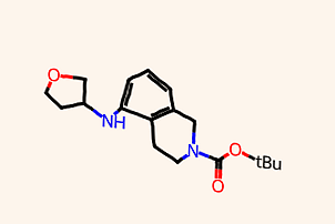 CC(C)(C)OC(=O)N1CCc2c(cccc2NC2CCOC2)C1